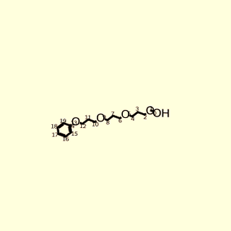 OOCCCOCCCOCCCOc1ccccc1